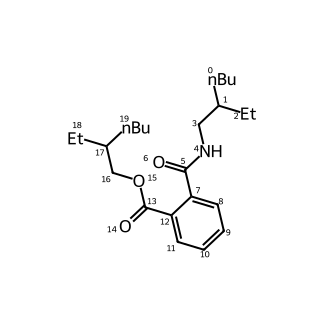 CCCCC(CC)CNC(=O)c1ccccc1C(=O)OCC(CC)CCCC